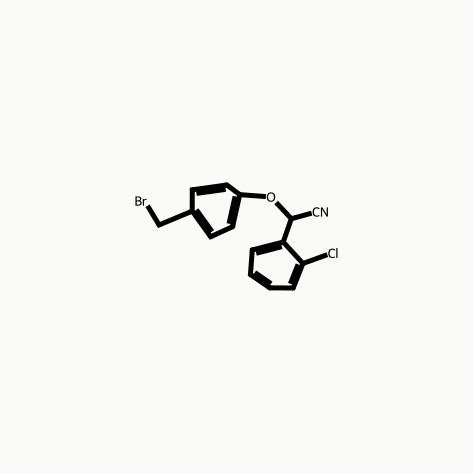 N#CC(Oc1ccc(CBr)cc1)c1ccccc1Cl